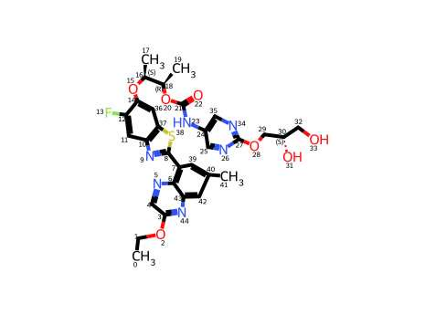 CCOc1cnc2c(-c3nc4cc(F)c(O[C@@H](C)[C@@H](C)OC(=O)Nc5cnc(OC[C@@H](O)CO)nc5)cc4s3)cc(C)cc2n1